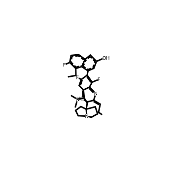 CC/C=C(/N=C1/C(F)=C(c2cc(O)cc3ccc(F)c(CC)c23)C(F)=C/C1=C(/C)N(C)C)C(O)C12CCCN1CCC2